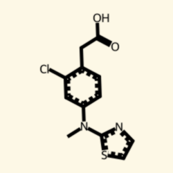 CN(c1ccc(CC(=O)O)c(Cl)c1)c1nccs1